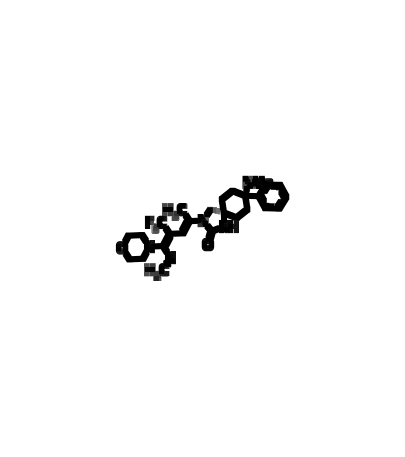 C=N/C(=C(\C=C(/C)N1C[C@]2(CC[C@@](NC)(c3ccccc3)CC2)NC1=O)C(F)(F)F)N1CCOCC1